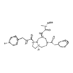 CN[C@@H](C)C(=O)N[C@H]1CN(C(=O)Cc2ccccc2)CC[C@H]2CC[C@@H](C(=O)NCc3ccc(F)cc3)N2C1